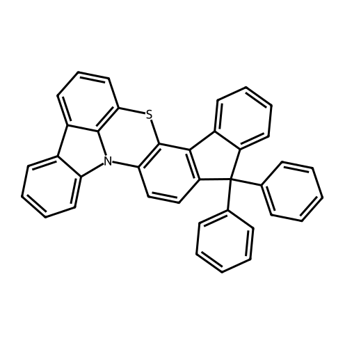 c1ccc(C2(c3ccccc3)c3ccccc3-c3c2ccc2c3Sc3cccc4c5ccccc5n-2c34)cc1